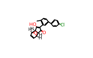 Cc1ccc(-c2ccc(Cl)cc2)cc1C1=C(O)[C@H]2[C@@H](C1=O)[C@@H]1C=C[C@H]2O1